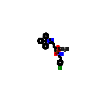 O=C(O)OC(CCc1cn(C(c2ccccc2)(c2ccccc2)c2ccccc2)cn1)CS(=O)(=O)NCCc1ccc(Cl)cc1